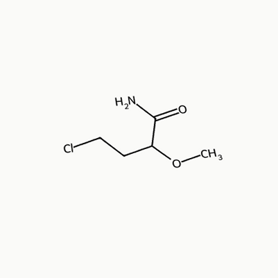 COC(CCCl)C(N)=O